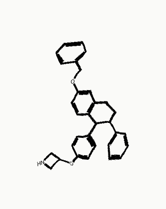 c1ccc(COc2ccc3c(c2)CCC(c2ccccc2)C3c2ccc(OC3CNC3)cc2)cc1